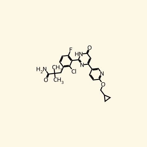 CC(C)(Cc1ccc(F)c(-c2nc(-c3ccc(OCC4CC4)nc3)cc(=O)[nH]2)c1Cl)C(N)=O